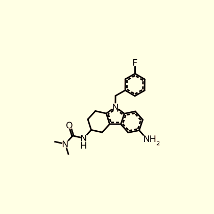 CN(C)C(=O)NC1CCc2c(c3cc(N)ccc3n2Cc2cccc(F)c2)C1